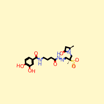 C[C@@H]1CC(=O)N1C[C@](C)(/C=N/NC(=O)CCCNC(=O)c1ccc(O)c(O)c1)[SH](=O)=O